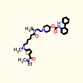 CCN(C)C(=O)c1ccc(N(C)CCCCCC(=O)N(C)CCN2CCC(OC(=O)Nc3ccccc3-c3ccccc3)CC2)s1